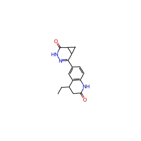 CCC1CC(=O)Nc2ccc(C3=NNC(=O)C4CC34)cc21